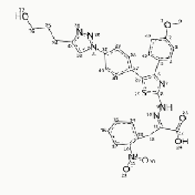 COc1ccc(-c2nc(N/N=C(/Cc3ccccc3[N+](=O)[O-])C(=O)O)sc2-c2ccc(-n3cc(CCCO)nn3)cc2)cc1